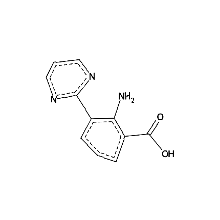 Nc1c(C(=O)O)cccc1-c1ncccn1